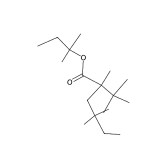 CCC(C)(C)CC(C)(C(=O)OC(C)(C)CC)C(C)(C)C